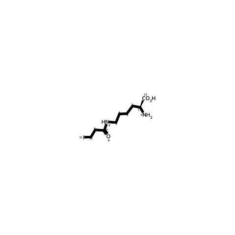 N[C@@H](CCCCNC(=O)CCI)C(=O)O